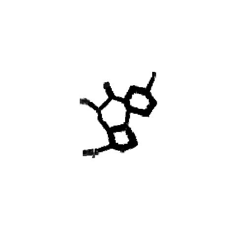 CCCN1Cc2c(C(=O)OCC)ncn2-c2ccc(F)cc2C1=O